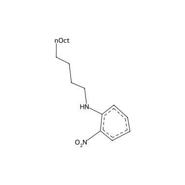 CCCCCCCCCCCCNc1ccccc1[N+](=O)[O-]